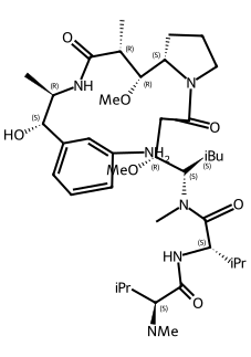 CC[C@H](C)[C@@H]([C@@H](CC(=O)N1CCC[C@H]1[C@H](OC)[C@@H](C)C(=O)N[C@H](C)[C@@H](O)c1cccc(N)c1)OC)N(C)C(=O)[C@@H](NC(=O)[C@@H](NC)C(C)C)C(C)C